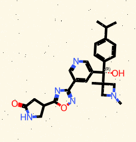 CC(C)c1ccc([C@](O)(c2cncc(-c3noc(C4CNC(=O)C4)n3)c2)C2(C)CN(C)C2)cc1